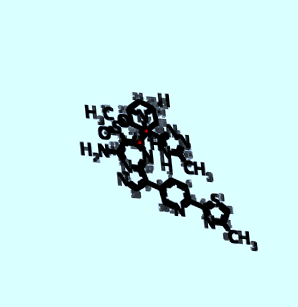 Cc1csc(-c2ccc(-c3cnn4c(N)c(S(C)(=O)=O)c([C@@H]5CC6C[C@@H](C5)N6C(=O)c5nnc(C)[nH]5)nc34)cn2)n1